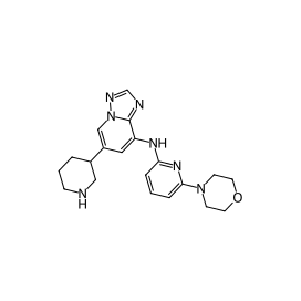 c1cc(Nc2cc(C3CCCNC3)cn3ncnc23)nc(N2CCOCC2)c1